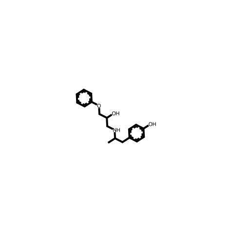 CC(Cc1ccc(O)cc1)NCC(O)COc1ccccc1